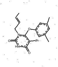 C/C=C/Cn1c(Oc2cc(C)cc(C)c2)c(C(C)C)c(=O)[nH]c1=O